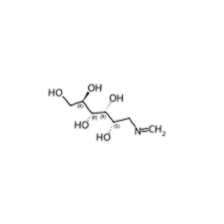 C=NC[C@H](O)[C@@H](O)[C@H](O)[C@H](O)CO